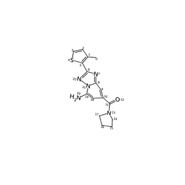 Cc1ccsc1-c1nc2cc(C(=O)N3CCCC3)cc(N)n2n1